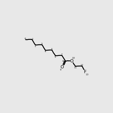 CCCCCCCCC(=O)OCCF